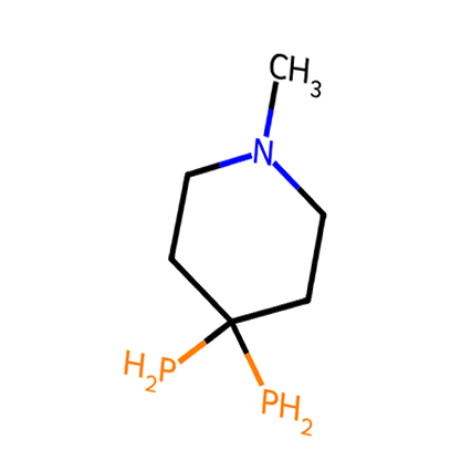 CN1CCC(P)(P)CC1